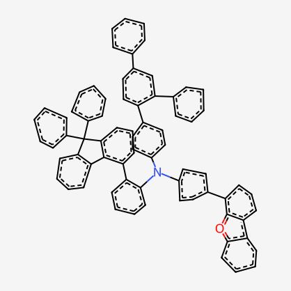 c1ccc(-c2ccc(-c3ccc(N(c4ccc(-c5cccc6c5oc5ccccc56)cc4)c4ccccc4-c4cccc5c4-c4ccccc4C5(c4ccccc4)c4ccccc4)cc3)c(-c3ccccc3)c2)cc1